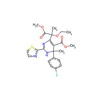 CCOC(C)(C(=O)OC)C1=C(C(=O)OC)C(C)(c2ccc(F)cc2)NC(c2nccs2)=N1